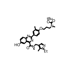 CCn1ncc(CN(C)C(=O)c2nc(-c3ccc(OCCCN(C)C(=O)OC(C)(C)C)c(C)c3)nc3ccc(O)cc23)c1C